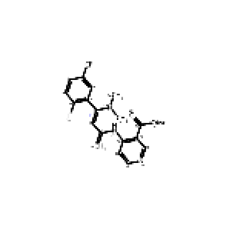 C=C(/C=C(/c1cc(Cl)ccc1F)N(C)C)Nc1ccncc1C(=O)OC